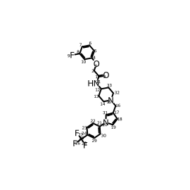 O=C(COc1cccc(F)c1)NC1CCN(Cc2ccn(-c3ccc(C(F)(F)F)cc3)c2)CC1